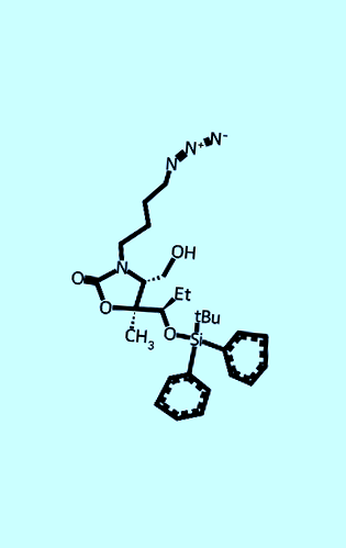 CC[C@@H](O[Si](c1ccccc1)(c1ccccc1)C(C)(C)C)[C@@]1(C)OC(=O)N(CCCCN=[N+]=[N-])[C@@H]1CO